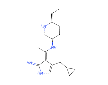 CC[C@H]1CC[C@@H](N/C(C)=C2/C(=N)NC=C2CC2CC2)CN1